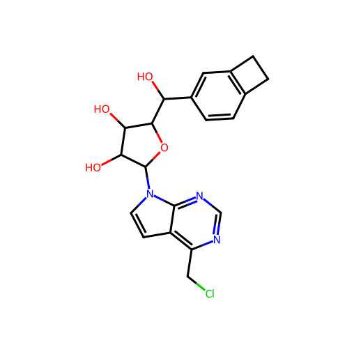 OC(c1ccc2c(c1)CC2)C1OC(n2ccc3c(CCl)ncnc32)C(O)C1O